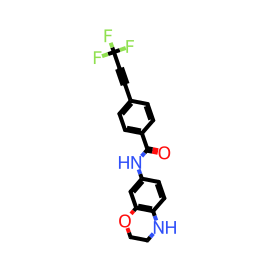 O=C(Nc1ccc2c(c1)OCCN2)c1ccc(C#CC(F)(F)F)cc1